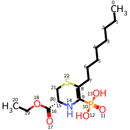 CCCCCCCCC1=C(P(=O)(O)O)N[C@H](C(=O)OCC)CS1